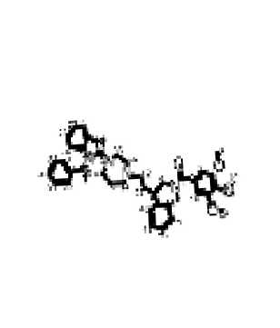 COc1cc(C(=O)N(C)CC(CCN2CCCN(c3nc4ccccc4n3C(F)c3ccccc3)CC2)c2ccccc2)cc(OC)c1OC